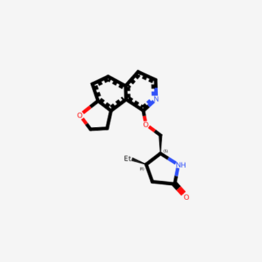 CC[C@@H]1CC(=O)N[C@@H]1COc1nccc2ccc3c(c12)CCO3